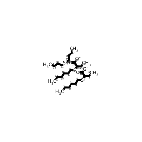 CCCCCCSC(CC)C(=O)[O-].CCCCCCSC(CC)C(=O)[O-].CCC[CH2][Sn+2][CH2]CCC